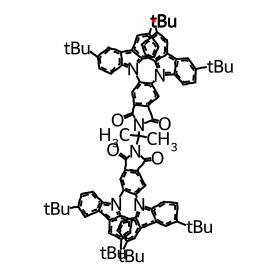 CC(C)(C)c1ccc2c(c1)c1cc(C(C)(C)C)ccc1n2-c1cc2c(cc1-n1c3ccc(C(C)(C)C)cc3c3cc(C(C)(C)C)ccc31)C(=O)N(C(C)(C)N1C(=O)c3cc(-n4c5ccc(C(C)(C)C)cc5c5cc(C(C)(C)C)ccc54)c(-n4c5ccc(C(C)(C)C)cc5c5cc(C(C)(C)C)ccc54)cc3C1=O)C2=O